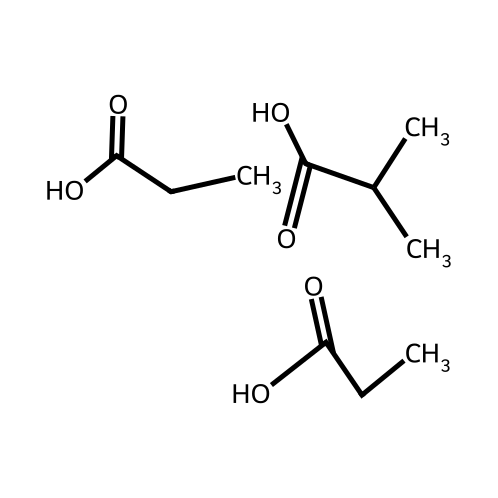 CC(C)C(=O)O.CCC(=O)O.CCC(=O)O